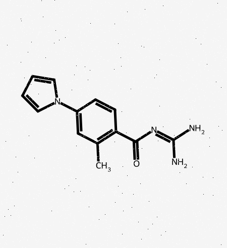 Cc1cc(-n2cccc2)ccc1C(=O)N=C(N)N